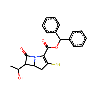 CC(O)C1C(=O)N2C(C(=O)OC(c3ccccc3)c3ccccc3)=C(S)CC12